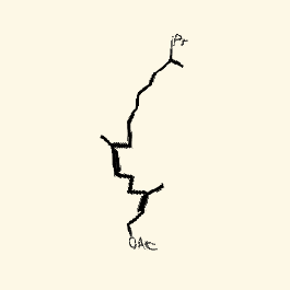 CC(=O)OCC=C(C)CCC=C(C)CCCCCCC(C)C(C)C